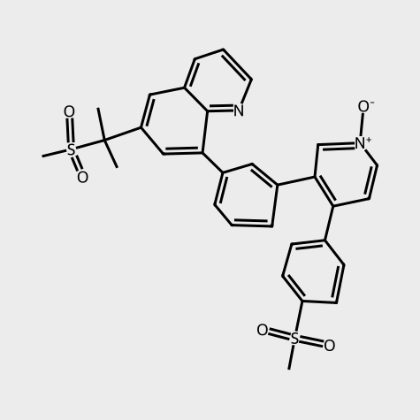 CC(C)(c1cc(-c2cccc(-c3c[n+]([O-])ccc3-c3ccc(S(C)(=O)=O)cc3)c2)c2ncccc2c1)S(C)(=O)=O